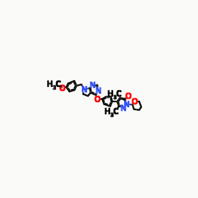 COc1ccc(CN2CCc3c(Oc4ccc(-c5c(C)nn(C6CCCCO6)c(=O)c5C)cc4)ncnc32)cc1